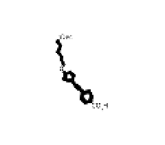 CCCCCCCCCCCCCCCCOc1ccc(C#Cc2ccc(C(=O)O)cc2)cc1